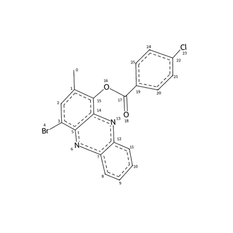 Cc1cc(Br)c2nc3ccccc3nc2c1OC(=O)c1ccc(Cl)cc1